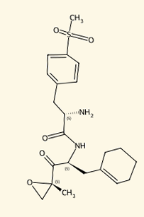 C[C@@]1(C(=O)[C@H](CC2=CCCCC2)NC(=O)[C@@H](N)Cc2ccc(S(C)(=O)=O)cc2)CO1